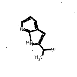 CC(Br)c1cc2cccnc2[nH]1